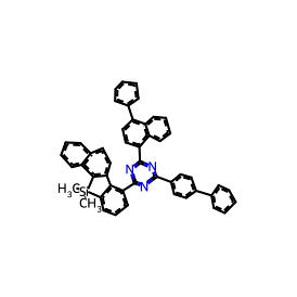 C[Si]1(C)c2cccc(-c3nc(-c4ccc(-c5ccccc5)cc4)nc(-c4ccc(-c5ccccc5)c5ccccc45)n3)c2-c2ccc3ccccc3c21